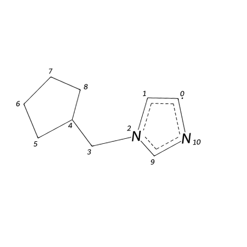 [c]1cn(CC2CCCC2)cn1